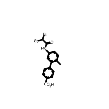 CCC(CC)C(=O)Nc1ccc(C)c(-c2ccc(C(=O)O)cc2)c1